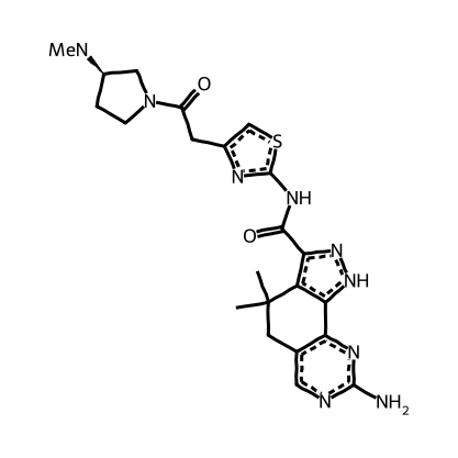 CN[C@@H]1CCN(C(=O)Cc2csc(NC(=O)c3n[nH]c4c3C(C)(C)Cc3cnc(N)nc3-4)n2)C1